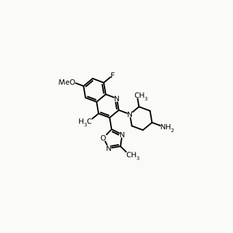 COc1cc(F)c2nc(N3CCC(N)CC3C)c(-c3nc(C)no3)c(C)c2c1